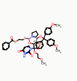 COCCOC1(n2ccc(=O)[nH]c2=O)CO[C@H](COC(c2ccccc2)(c2ccc(OC)cc2)c2ccc(OC)cc2)C1OP(SCCSC(=O)c1ccccc1)N1CCCC1